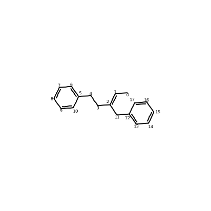 CC=C(CCc1ccccc1)Cc1ccccc1